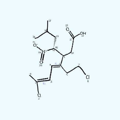 C/C(Cl)=C\C=C(/CCCl)C(CC(=O)O)[C@@H](CC(C)C)[N+](=O)[O-]